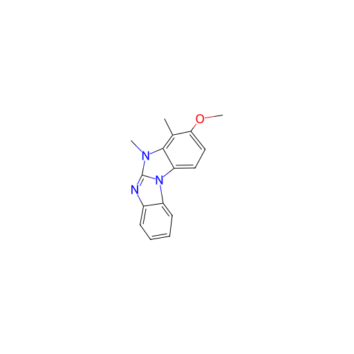 COc1ccc2c(c1C)n(C)c1nc3ccccc3n21